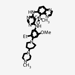 CCc1cc(Nc2cc(Nc3ccc4nccnc4c3P(C)(C)=O)ncn2)c(OC)cc1N1CCC(N2CCN(C)CC2)CC1